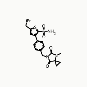 CC(C)Cc1cc(-c2ccc(CN3C(=O)N(C)C4(CC4)C3=O)cc2)c(S(N)(=O)=O)s1